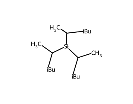 CCC(C)C(C)[Si](C(C)C(C)CC)C(C)C(C)CC